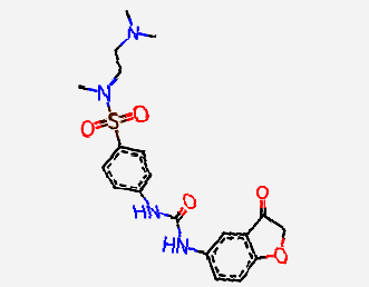 CN(C)CCN(C)S(=O)(=O)c1ccc(NC(=O)Nc2ccc3c(c2)C(=O)CO3)cc1